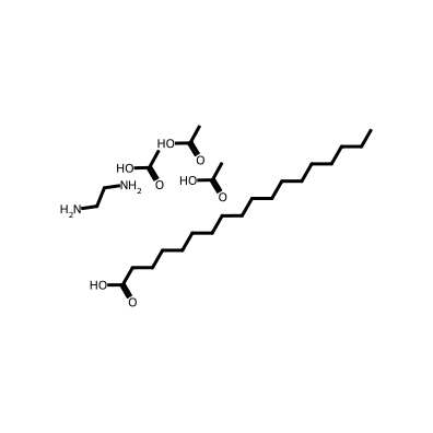 CC(=O)O.CC(=O)O.CC(=O)O.CCCCCCCCCCCCCCCCCC(=O)O.NCCN